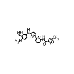 N=Cc1cc(Nc2ccn(-c3cccc(NC(=O)c4cc(C(F)(F)F)on4)n3)n2)ccc1N